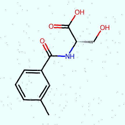 Cc1cccc(C(=O)N[C@@H](CO)C(=O)O)c1